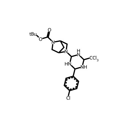 CC(C)(C)OC(=O)N1CC2CC1CN2C1NC(c2ccc(Cl)cc2)NC(C(Cl)(Cl)Cl)N1